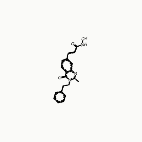 Cc1nc2cc(C=CC(=O)NO)ccc2c(=O)n1CCc1ccccc1